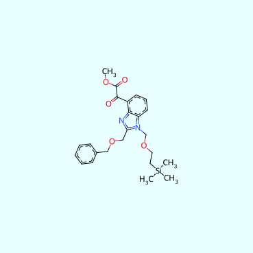 COC(=O)C(=O)c1cccc2c1nc(COCc1ccccc1)n2COCC[Si](C)(C)C